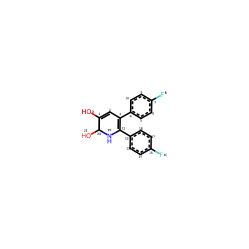 OC1=CC(c2ccc(F)cc2)=C(c2ccc(F)cc2)NC1O